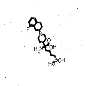 NC(CCCCB(O)O)(C(=O)O)C1CCN(C2CCc3cccc(F)c3C2)CC1